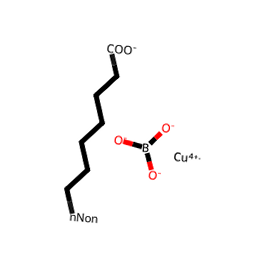 CCCCCCCCCCCCCCCC(=O)[O-].[Cu+4].[O-]B([O-])[O-]